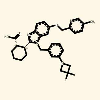 Cc1ccc(COc2ccc3nc([C@@H]4CCCC[C@@H]4C(=O)O)n(Cc4cccc(N5CC(F)(F)C5)c4)c3c2)nc1